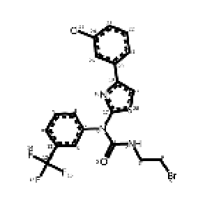 O=C(NCCBr)N(c1cccc(C(F)(F)F)c1)c1nc(-c2cccc(Cl)c2)cs1